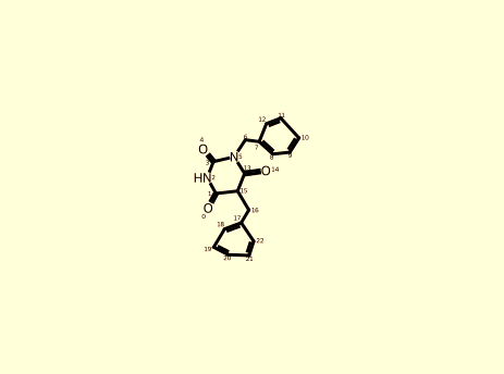 O=C1NC(=O)N(Cc2ccccc2)C(=O)C1Cc1ccccc1